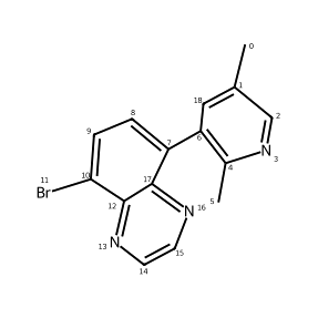 Cc1cnc(C)c(-c2ccc(Br)c3nccnc23)c1